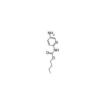 CCCCOC(=O)Nc1ccc(N)cn1